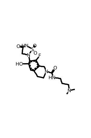 CN(C)CCCNC(=O)N1CCc2cc(O)c(N3CC(=O)NS3(=O)=O)c(F)c2C1